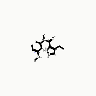 C/C=C(\CC(C)N(C)C(=O)c1[nH]ncc1CC)OC